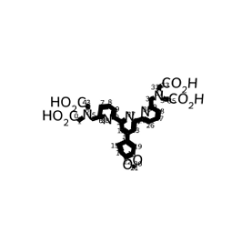 O=C(O)CN(CC(=O)O)Cc1cccc(-c2cc(-c3ccc4c(c3)OCO4)cc(-c3cccc(CN(CC(=O)O)CC(=O)O)n3)n2)n1